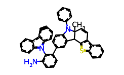 CC12C=Cc3c(sc4ccccc34)C1c1cc(-c3cccc(N)c3-n3c4ccc#cc4c4ccccc43)ccc1N2c1ccccc1